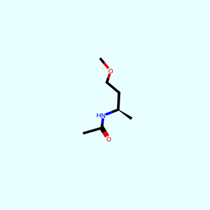 COCC[C@@H](C)NC(C)=O